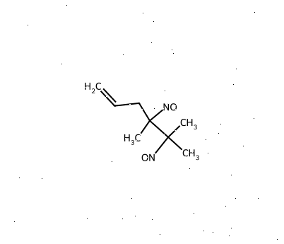 C=CCC(C)(N=O)C(C)(C)N=O